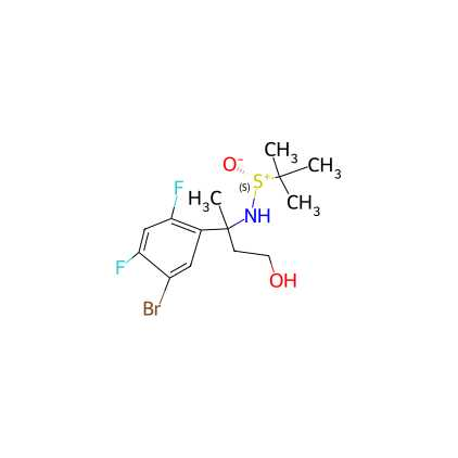 CC(CCO)(N[S@+]([O-])C(C)(C)C)c1cc(Br)c(F)cc1F